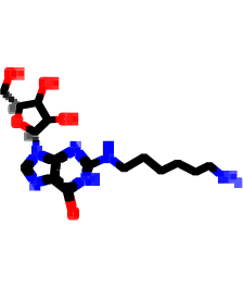 NCCCCCCNc1nc2c(ncn2[C@@H]2O[C@H](CO)C(O)C2O)c(=O)[nH]1